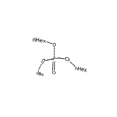 CCCCCCOP(=O)(OCCCC)OCCCCCC